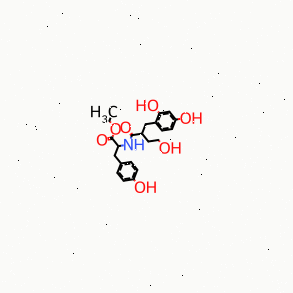 CCOC(=O)C(Cc1ccc(O)cc1)NC(=O)C(CCO)Cc1ccc(O)cc1O